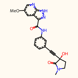 COc1cnc2[nH]nc(C(=O)Nc3cccc(C#C[C@]4(O)CCN(C)C4=O)c3)c2c1